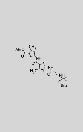 COC(=O)c1cc(NC(=O)c2sc(NC(=O)CCNC(=O)OC(C)(C)C)nc2C)cn1C